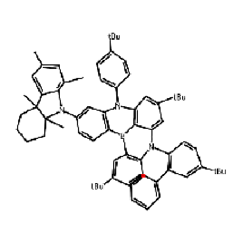 Cc1cc(C)c2c(c1)C1(C)CCCCC1(C)N2c1ccc2c(c1)N(c1ccc(C(C)(C)C)cc1)c1cc(C(C)(C)C)cc3c1B2c1cc(C(C)(C)C)ccc1N3c1ccc(C(C)(C)C)cc1-c1ccccc1